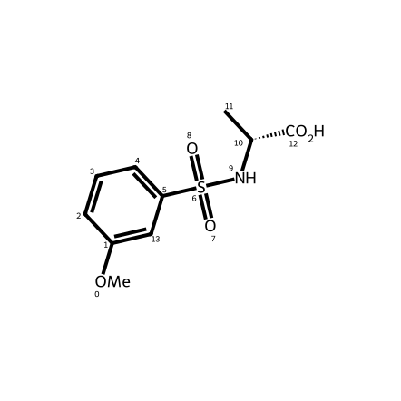 COc1cccc(S(=O)(=O)N[C@H](C)C(=O)O)c1